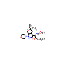 CCO/C=N/c1c(C(=O)OCC)oc2nc(N3CCOCC3)c3c(c12)CC(C)(C)OC3